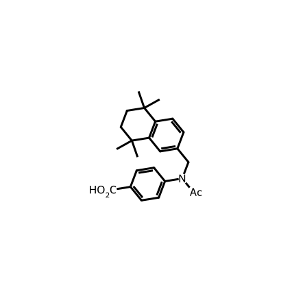 CC(=O)N(Cc1ccc2c(c1)C(C)(C)CCC2(C)C)c1ccc(C(=O)O)cc1